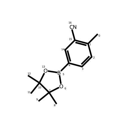 Cc1ccc(B2OC(C)(C)C(C)(C)O2)cc1C#N